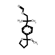 COC1(c2ccc(C(C)(C)COC=O)cc2)CCCO1